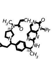 C=CC(=O)N(C)[C@@H]1CCN(C(CC2CC2)c2ccc([C@H](C)Nc3ncc4cnc(=O)n(C(C)C)c4n3)cc2)C1